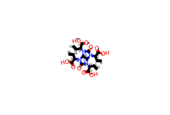 C=CC(C(=O)O)N1C(=O)N(C(C=C)C(=O)O)C2C1N(C(C=C)C(=O)O)C(=O)N2C(C=C)C(=O)O